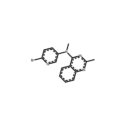 Cc1nc(N(C)c2ccc(Br)nc2)c2ccccc2n1